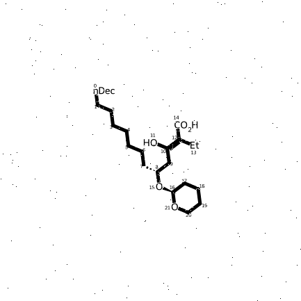 CCCCCCCCCCCCCCCCC[C@H](C/C(O)=C(\CC)C(=O)O)O[C@H]1CCCCO1